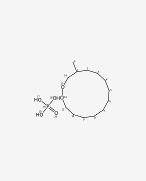 CC1CCCCCCCCCCOOC1.O=P(O)(O)O